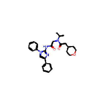 CC(C)N(CC(=O)Nc1nc(-c2ccccc2)cn1-c1ccccc1)C(=O)CC1CCOCC1